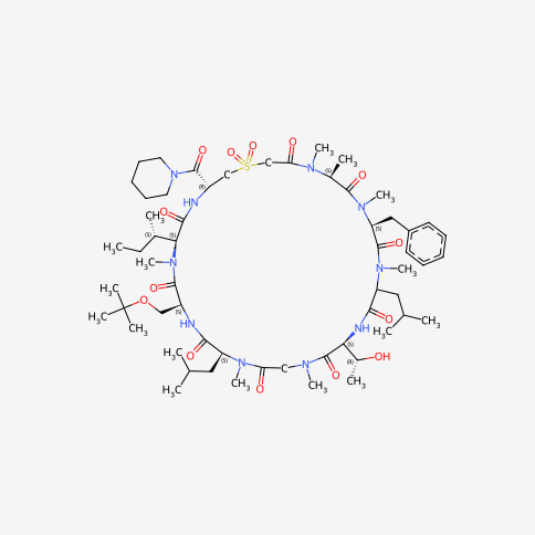 CC[C@H](C)[C@H]1C(=O)N[C@H](C(=O)N2CCCCC2)CS(=O)(=O)CC(=O)N(C)[C@@H](C)C(=O)N(C)[C@@H](Cc2ccccc2)C(=O)N(C)C(CC(C)C)C(=O)N[C@@H]([C@@H](C)O)C(=O)N(C)CC(=O)N(C)[C@@H](CC(C)C)C(=O)N[C@@H](COC(C)(C)C)C(=O)N1C